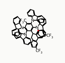 FC(F)(F)c1ccc2c(c1)-c1cc(C(F)(F)F)ccc1C(c1c(-n3c4ccccc4c4ccccc43)c(-n3c4ccccc4c4ccccc43)c(C(F)(F)F)c(-n3c4ccccc4c4ccccc43)c1-n1c3ccccc3c3ccccc31)C2